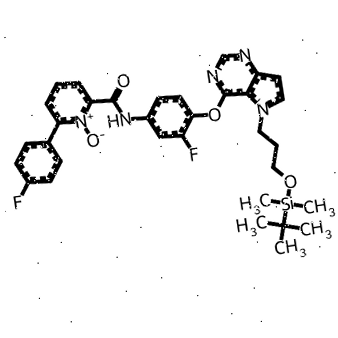 CC(C)(C)[Si](C)(C)OCCCn1ccc2ncnc(Oc3ccc(NC(=O)c4cccc(-c5ccc(F)cc5)[n+]4[O-])cc3F)c21